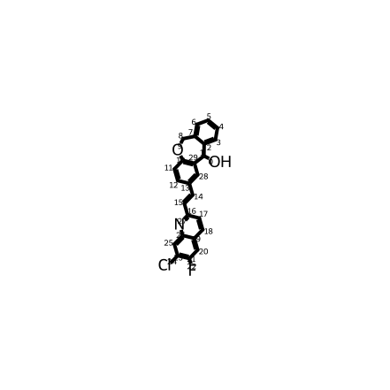 OC1c2ccccc2COc2ccc(C=Cc3ccc4cc(F)c(Cl)cc4n3)cc21